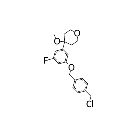 COC1(c2cc(F)cc(OCc3ccc(CCl)cc3)c2)CCOCC1